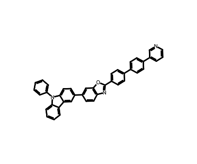 c1ccc(-n2c3ccccc3c3cc(-c4ccc5nc(-c6ccc(-c7ccc(-c8cccnc8)cc7)cc6)oc5c4)ccc32)cc1